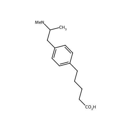 CNC(C)Cc1ccc(CCCCC(=O)O)cc1